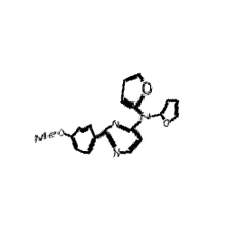 COc1ccc(-c2nccc(N(c3ccco3)c3ccco3)n2)cc1